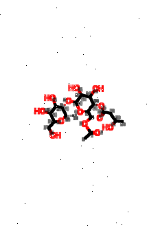 CC(=O)OCC1O[C@@H](O[C@H]2C(O)[C@H](O)C(CO)O[C@H]2C)[C@@H](O)C(O)[C@@H]1OC(=O)CC(C)O